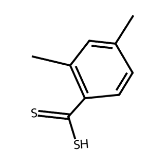 Cc1ccc(C(=S)S)c(C)c1